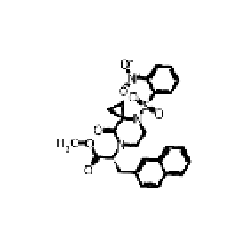 COC(=O)[C@H](Cc1ccc2ccccc2c1)N1CCN(S(=O)(=O)c2ccccc2[N+](=O)[O-])C2(CC2)C1=O